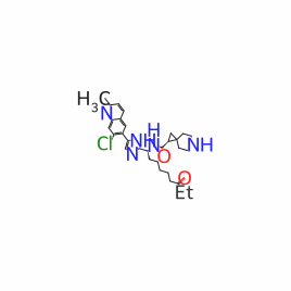 CCC(=O)CCCCC[C@H](NC(=O)[C@H]1CC12CCNCC2)c1ncc(-c2cc3ccc(C)nc3cc2Cl)[nH]1